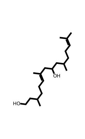 CC(C)=CCCC(C)CC(O)CC(C)=CCCC(C)CCO